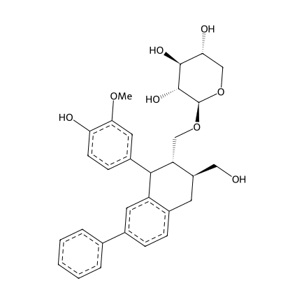 COc1cc(C2c3cc(-c4ccccc4)ccc3C[C@H](CO)[C@H]2CO[C@@H]2OC[C@@H](O)[C@H](O)[C@H]2O)ccc1O